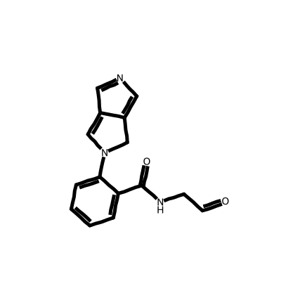 O=CCNC(=O)c1ccccc1N1C=C2C=NC=C2C1